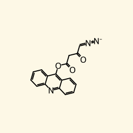 [N-]=[N+]=CC(=O)CC(=O)Oc1c2ccccc2nc2ccccc12